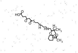 CC(=O)N1CCCCC12OCC(C)(C)[C@H](CNCCCNCCSC(=O)CC(=O)CCC(=O)O)O2